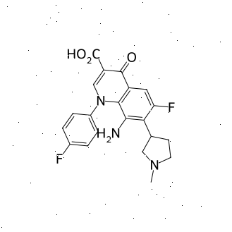 CN1CCC(c2c(F)cc3c(=O)c(C(=O)O)cn(-c4ccc(F)cc4)c3c2N)C1